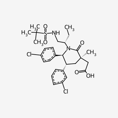 CC[C@@H](CNS(=O)(=O)C(C)(C)C)N1C(=O)[C@@](C)(CC(=O)O)C[C@H](c2cccc(Cl)c2)[C@H]1c1ccc(Cl)cc1